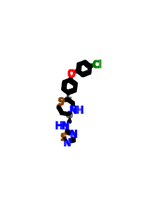 Clc1ccc(Oc2ccc([C@@H]3CN[C@H](CNc4ncns4)CCS3)cc2)cc1